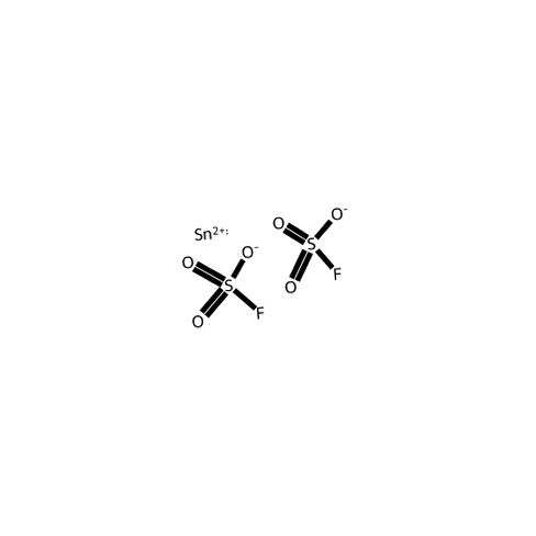 O=S(=O)([O-])F.O=S(=O)([O-])F.[Sn+2]